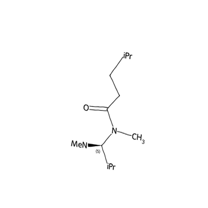 CN[C@H](C(C)C)N(C)C(=O)CCC(C)C